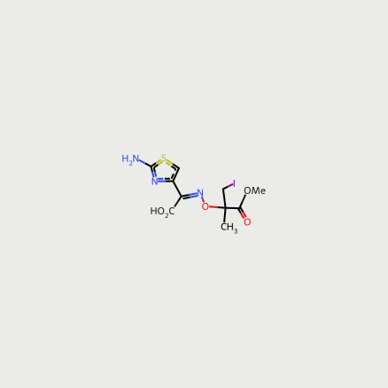 COC(=O)C(C)(CI)ON=C(C(=O)O)c1csc(N)n1